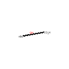 CCCCC=CCC=CCC(O)CCCCCCCCCCC(=O)O